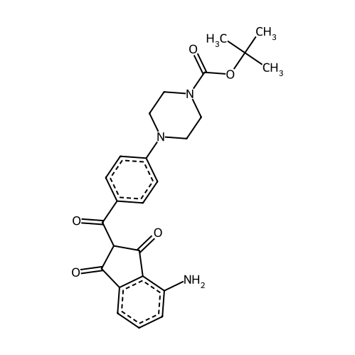 CC(C)(C)OC(=O)N1CCN(c2ccc(C(=O)C3C(=O)c4cccc(N)c4C3=O)cc2)CC1